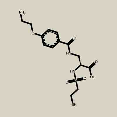 NCCOc1ccc(C(=O)NC[C@H](NS(=O)(=O)CCS)C(=O)O)cc1